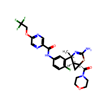 C[C@@]1(c2cc(NC(=O)c3cnc(OCC(F)(F)F)cn3)ccc2F)N=C(N)S[C@@]2(C(=O)N3CCOCC3)C[C@@H]12